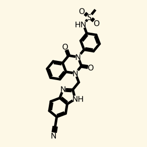 CS(=O)(=O)Nc1cccc(-n2c(=O)c3ccccc3n(Cc3nc4ccc(C#N)cc4[nH]3)c2=O)c1